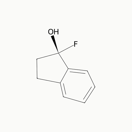 O[C@]1(F)CCc2ccccc21